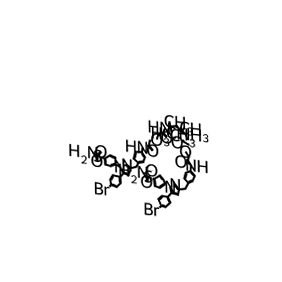 CC(C)(CC(C)(C)NC(=O)COCC(=O)Nc1ccc(Cc2cc(-c3ccc(Br)cc3)n(-c3ccc(S(N)(=O)=O)cc3)n2)cc1)NC(=O)COCC(=O)Nc1ccc(Cc2cc(-c3ccc(Br)cc3)n(-c3ccc(S(N)(=O)=O)cc3)n2)cc1